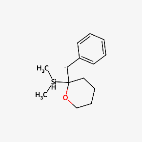 C[SiH](C)C1([CH]c2ccccc2)CCCCO1